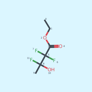 CCOC(=O)C(F)(F)C(C)(O)F